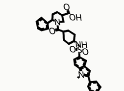 Cn1c(-c2ccccc2)cc2cc(S(=O)(=O)NC3CCC(C(=O)N4CC(C(=O)O)CCC4c4ccccc4)CC3)ccc21